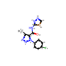 Cc1nnn(-c2ccc(F)cc2)c1C(=O)Nc1nncs1